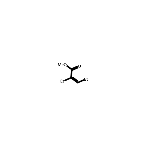 CCC=C(CC)C(=O)OC